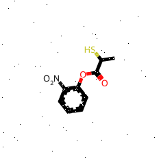 CC(S)C(=O)Oc1ccccc1[N+](=O)[O-]